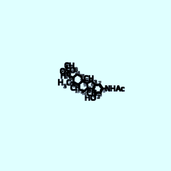 CC(=O)Nc1cc(O)c2c(c1)CC1C2(C)CCC2C(C)(C)C(NS(C)(=O)=O)CCC12C